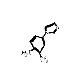 Cc1ccc(-n2c[c]nc2)cc1C(F)(F)F